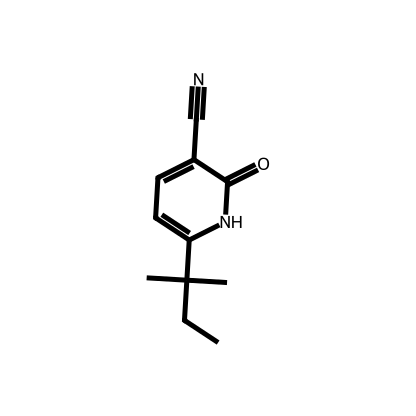 CCC(C)(C)c1ccc(C#N)c(=O)[nH]1